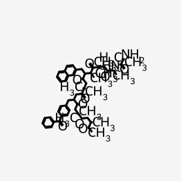 CC(=O)C(C)CC(=O)C(C)(C)CC(=O)C(CC(=O)C(C)(C)CC(=O)C(Cc1ccc2ccccc2c1)C(C)C(=O)C(C)(C)CC(=O)C(C)NC(=O)C(C)(C)N)Cc1ccc(C(=O)c2ccccc2)cc1